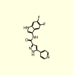 O=C(Nc1c[nH]c2cc(F)c(F)cc12)c1cc(-c2ccncc2)[nH]n1